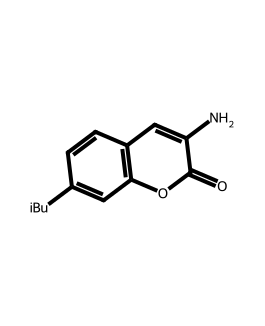 CCC(C)c1ccc2cc(N)c(=O)oc2c1